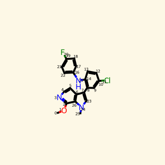 COc1nccc2c(-c3cc(Cl)ccc3Nc3ccc(F)cc3)cn(C)c12